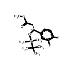 COC(=O)C[C@@H](O[Si](C)(C)C(C)(C)C)c1ccc(F)c(F)c1